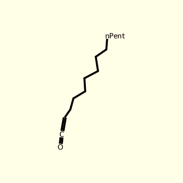 CCCCCCCCCCCCC=C=O